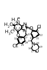 C=C1N(C)C(=O)c2c(nc(Oc3cc(CN4CCOCC4)ccc3Cl)n2Cc2ccc(Cl)cc2)N1C